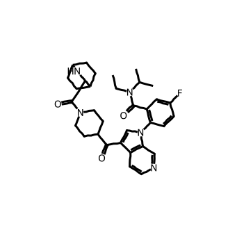 CCN(C(=O)c1cc(F)ccc1-n1cc(C(=O)C2CCN(C(=O)C3NC4CCC3CC4)CC2)c2ccncc21)C(C)C